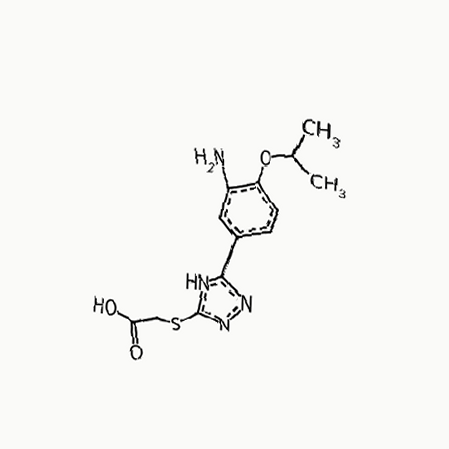 CC(C)Oc1ccc(-c2nnc(SCC(=O)O)[nH]2)cc1N